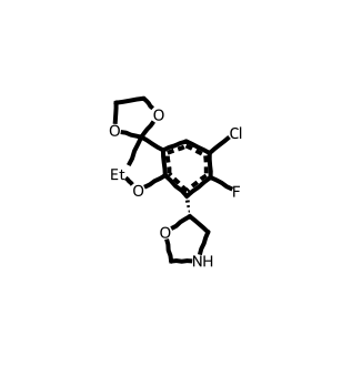 CCOc1c(C2(C)OCCO2)cc(Cl)c(F)c1[C@@H]1CNCO1